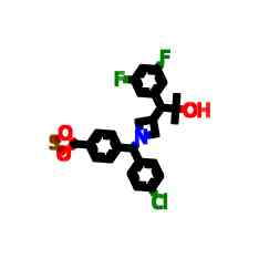 CC(C)(O)C(c1cc(F)cc(F)c1)C1CN(C(c2ccc(Cl)cc2)c2ccc(C3OSO3)cc2)C1